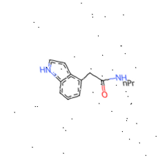 CCCNC(=O)Cc1cccc2[nH]ccc12